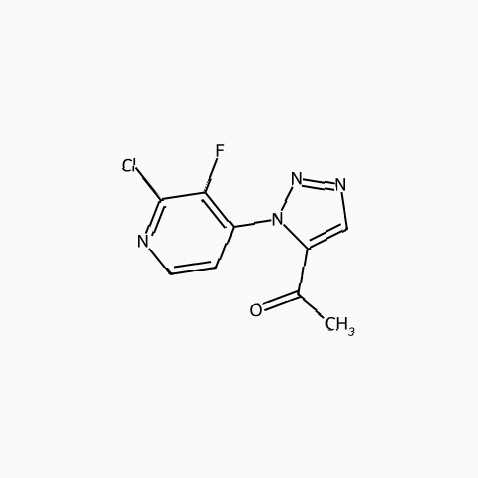 CC(=O)c1cnnn1-c1ccnc(Cl)c1F